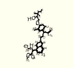 CCCC(C)(C)C(O)COc1ccc(C(CC)CCc2ccc3c(C(NC=O)C(=O)OC)cccc3c2)cc1C